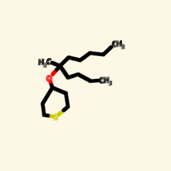 CCCCCC(C)(CCCC)OC1CCSCC1